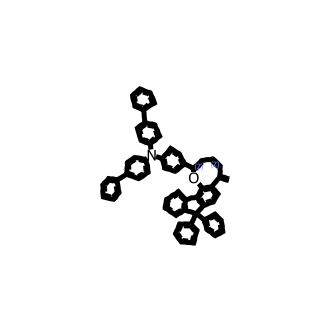 C=C1/C=C\C=C(\c2ccc(N(c3ccc(-c4ccccc4)cc3)c3ccc(-c4ccccc4)cc3)cc2)Oc2c1ccc1c2-c2ccccc2C1(c1ccccc1)c1ccccc1